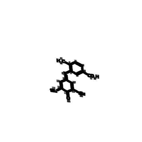 Cc1ccc(C(=O)O)cc1N=C1C=C(C(C)(C)C)C(=O)C(C(C)(C)C)=C1